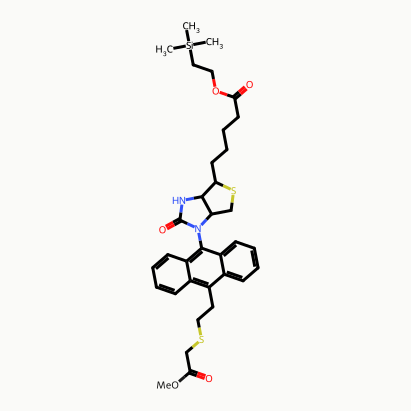 COC(=O)CSCCc1c2ccccc2c(N2C(=O)NC3C(CCCCC(=O)OCC[Si](C)(C)C)SCC32)c2ccccc12